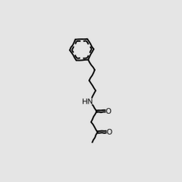 CC(=O)CC(=O)NCCCc1ccccc1